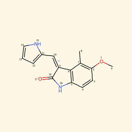 COc1ccc2c(c1C)/C(=C/c1ccc[nH]1)C(=O)N2